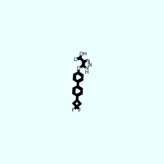 O=C(O)c1nn[nH]c1Oc1ccc(-c2ccc(C3CC(F)(F)C3)cc2)cc1